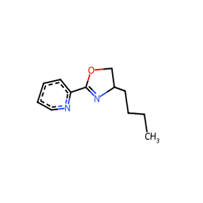 CCCCC1COC(c2ccccn2)=N1